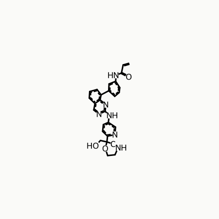 C=CC(=O)Nc1cccc(-c2cccc3cnc(Nc4ccc(C5(CO)CNCCO5)nc4)nc23)c1